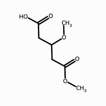 COC(=O)CC(CC(=O)O)OC